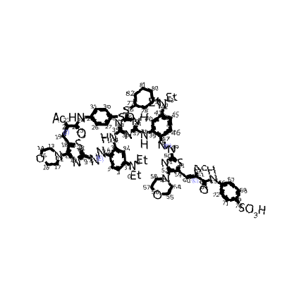 CCN(CC)c1ccc(/N=N/c2nc(N3CCOCC3)c(/C=C(/C(C)=O)C(=O)Nc3ccc(S(=O)(=O)O)cc3)s2)c(Nc2nc(Nc3cc(N(CC)CC)ccc3/N=N/c3nc(N4CCOCC4)c(/C=C(\C(C)=O)C(=O)Nc4ccc(S(=O)(=O)O)cc4)s3)nc(SC3CCCCC3)n2)c1